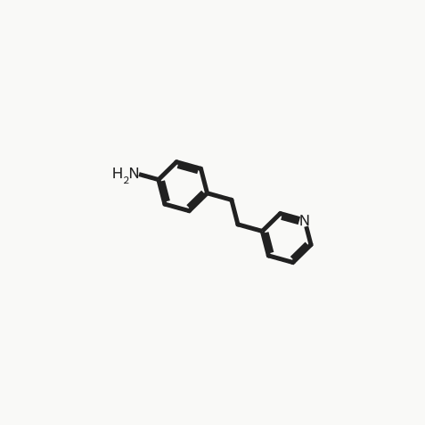 Nc1ccc(CCc2cccnc2)cc1